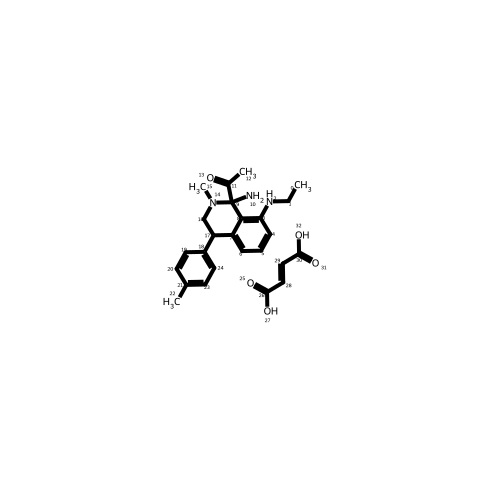 CCNc1cccc2c1C(N)(C(C)=O)N(C)CC2c1ccc(C)cc1.O=C(O)C=CC(=O)O